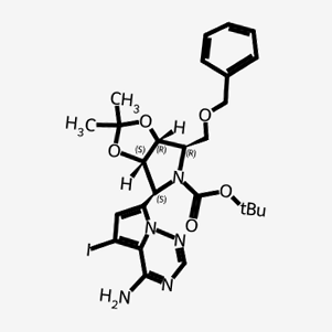 CC(C)(C)OC(=O)N1[C@H](COCc2ccccc2)[C@H]2OC(C)(C)O[C@H]2[C@@H]1c1cc(I)c2c(N)ncnn12